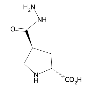 NNC(=O)[C@@H]1CN[C@@H](C(=O)O)C1